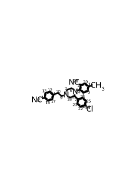 Cc1ccc(N2CCN(CCc3ccc(C#N)cc3)CC2c2ccc(Cl)cc2)c(C#N)c1